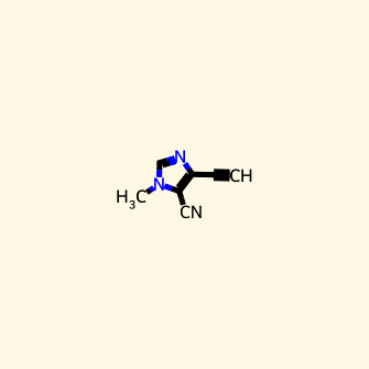 C#Cc1ncn(C)c1C#N